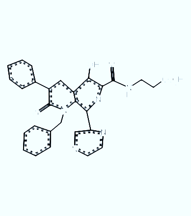 O=C(O)CCNC(=O)c1nc(-c2cnccn2)c2c(cc(-c3ccccc3)c(=O)n2Cc2ccccc2)c1O